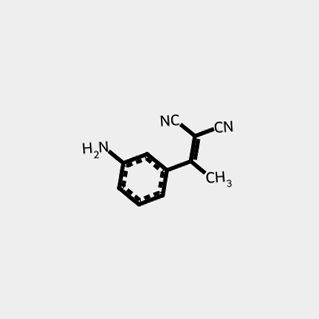 CC(=C(C#N)C#N)c1cccc(N)c1